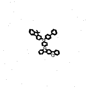 CC1(C)c2ccccc2-c2ccc(N(c3ccc(-c4ccccc4)cc3)c3ccc(-n4c5ccccc5c5cc6oc7ccccc7c6cc54)cc3)cc21